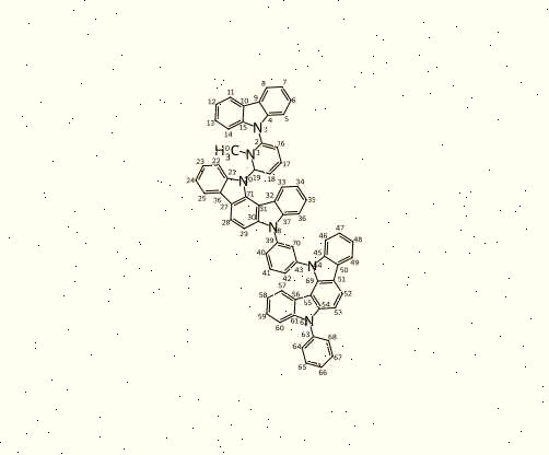 CN1C(n2c3ccccc3c3ccccc32)=CC=CC1n1c2ccccc2c2ccc3c(c4ccccc4n3-c3cccc(-n4c5ccccc5c5ccc6c(c7ccccc7n6-c6ccccc6)c54)c3)c21